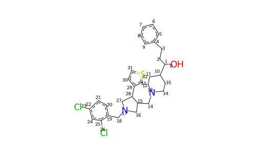 OC(CCc1ccccc1)C1CCN(CC2CN(Cc3ccc(Cl)cc3Cl)CC2c2ccsc2)CC1